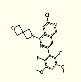 COc1cc(OC)c(F)c(-c2cc3cnc(Cl)cc3c(N3CC4(COC4)C3)n2)c1F